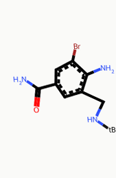 CC(C)(C)NCc1cc(C(N)=O)cc(Br)c1N